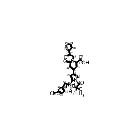 CC(C)(C)C(=O)n1nc(-c2cc(C(=O)O)n(CC(=O)c3ccsn3)c(=O)c2)cc1NCc1ccc(Cl)s1